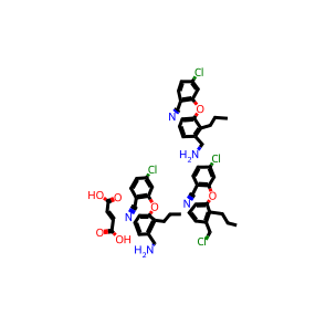 CCCc1c(CCl)cccc1Oc1cc(Cl)ccc1C#N.CCCc1c(CN)cccc1Oc1cc(Cl)ccc1C#N.CCCc1c(CN)cccc1Oc1cc(Cl)ccc1C#N.O=C(O)C=CC(=O)O